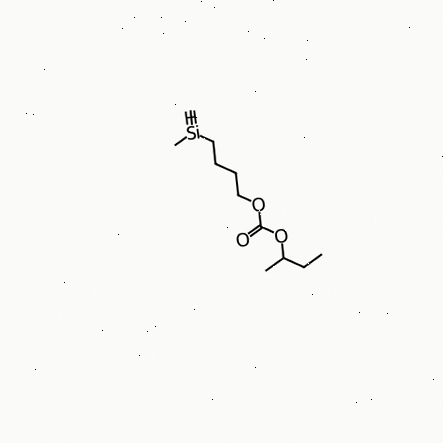 CCC(C)OC(=O)OCCCC[SiH](C)C